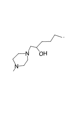 [CH2]CCCC(O)CN1CCN(C)CC1